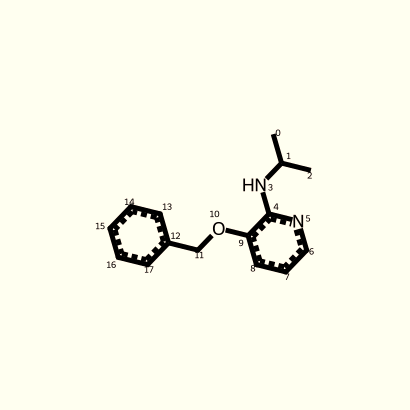 CC(C)Nc1ncccc1OCc1ccccc1